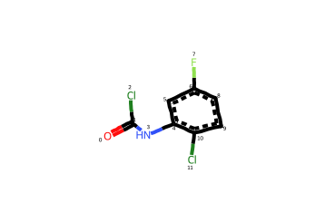 O=C(Cl)Nc1cc(F)ccc1Cl